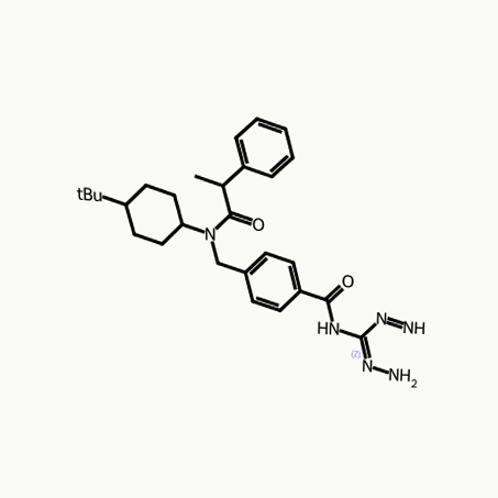 CC(C(=O)N(Cc1ccc(C(=O)N/C(N=N)=N/N)cc1)C1CCC(C(C)(C)C)CC1)c1ccccc1